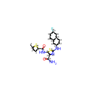 Cc1ccc(C(=O)Nc2sc(Nc3ccc4cc(F)ccc4c3)nc2C(N)=O)s1